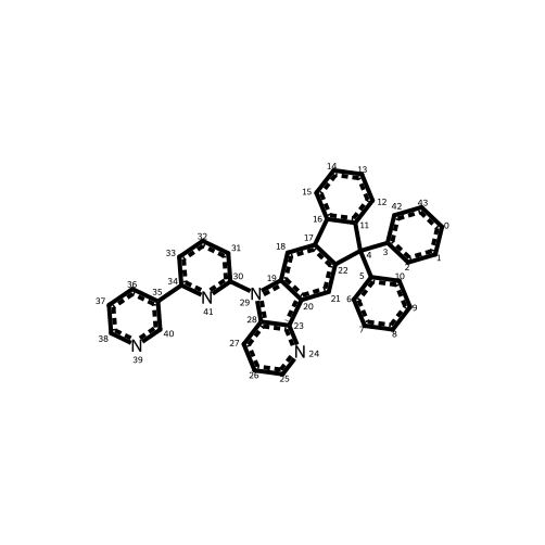 c1ccc(C2(c3ccccc3)c3ccccc3-c3cc4c(cc32)c2ncccc2n4-c2cccc(-c3cccnc3)n2)cc1